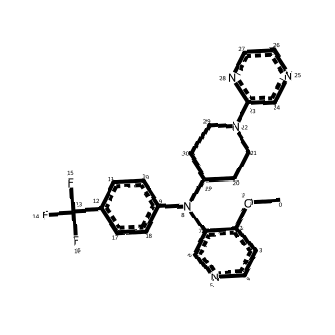 COc1ccncc1N(c1ccc(C(F)(F)F)cc1)C1CCN(c2cnccn2)CC1